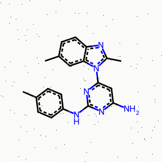 Cc1ccc(Nc2nc(N)cc(-n3c(C)nc4ccc(C)cc43)n2)cc1